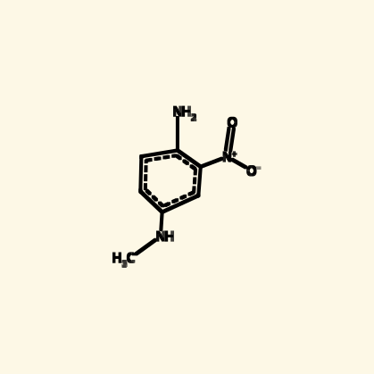 CNc1ccc(N)c([N+](=O)[O-])c1